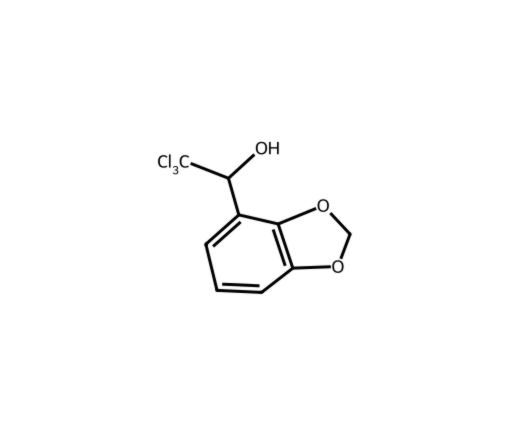 OC(c1cccc2c1OCO2)C(Cl)(Cl)Cl